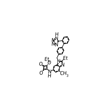 CCOc1c(Nc2cc(C)c3nc(CC)n(Cc4ccc(-c5ccccc5-c5nnn[nH]5)cc4)c3c2)c(=O)c1=O